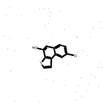 Oc1cc2ccc(Cl)cc2c2ccsc12